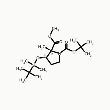 COC(=O)[C@@]1(C)[C@H](O[Si](C)(C)C(C)(C)C)CCN1C(=O)OC(C)(C)C